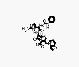 Nc1nc(/C(=N/OC(=O)Nc2ccccc2)C(=O)NC2C(=O)N3C(C(=O)[O-])=C(C[n+]4cccc5occc54)CS[C@H]23)co1